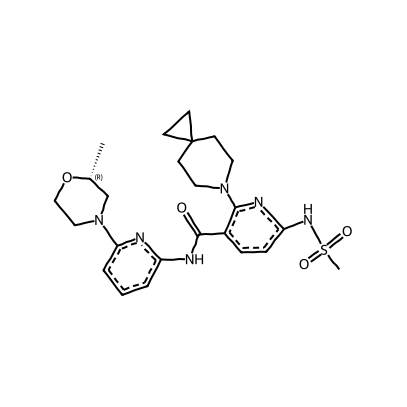 C[C@@H]1CN(c2cccc(NC(=O)c3ccc(NS(C)(=O)=O)nc3N3CCC4(CC3)CC4)n2)CCO1